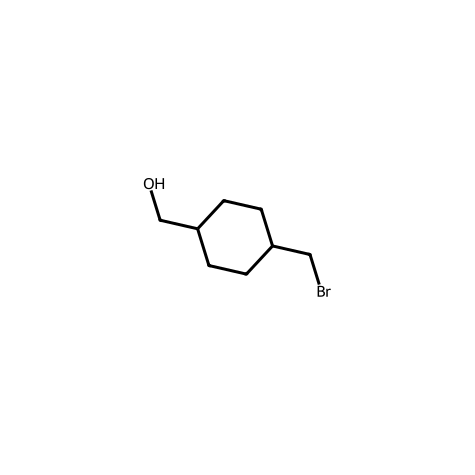 OCC1CCC(CBr)CC1